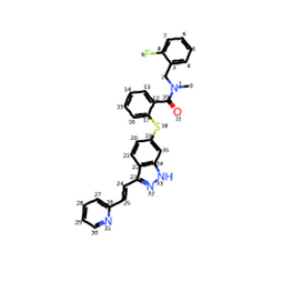 CN(Cc1ccccc1F)C(=O)c1ccccc1Sc1ccc2c(/C=C/c3ccccn3)n[nH]c2c1